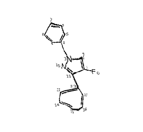 Fc1cn(-c2ccccc2)nc1-c1ccccc1